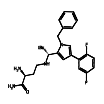 CC(C)(C)[C@@H](NCC[C@H](N)C(N)=O)c1cc(-c2cc(F)ccc2F)cn1Cc1ccccc1